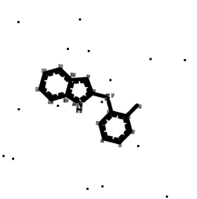 Cc1ccccc1Sc1cc2ccccc2[nH]1